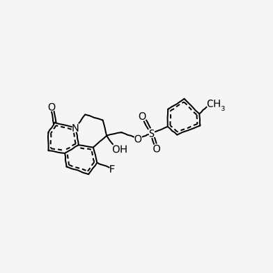 Cc1ccc(S(=O)(=O)OCC2(O)CCn3c(=O)ccc4ccc(F)c2c43)cc1